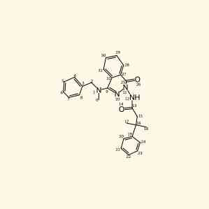 CN(Cc1ccccc1)c1nn(NC(=O)CC(C)(C)c2ccccc2)c(=O)c2ccccc12